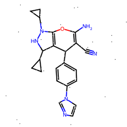 N#CC1=C(N)OC2=C(C1c1ccc(-n3ccnc3)cc1)C(C1CC1)NN2C1CC1